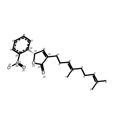 CC(C)=CCC/C(C)=C/CCC1=C[C@@H](c2ccccc2[N+](=O)[O-])OC1=O